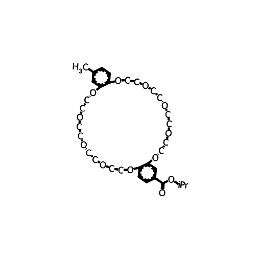 Cc1ccc2c(c1)OCCOCCOCCOCCOc1ccc(C(=O)OC(C)C)cc1OCCOCCOCCOCCO2